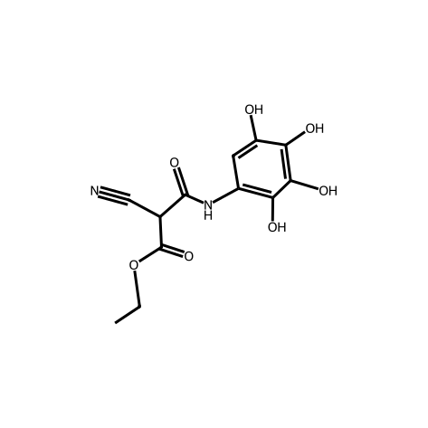 CCOC(=O)C(C#N)C(=O)Nc1cc(O)c(O)c(O)c1O